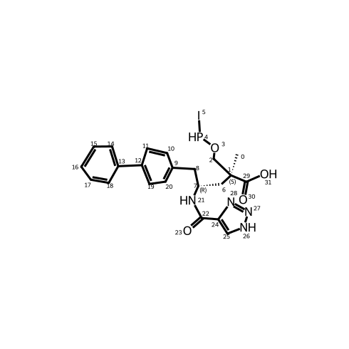 C[C@@](COPI)(C[C@@H](Cc1ccc(-c2ccccc2)cc1)NC(=O)c1c[nH]nn1)C(=O)O